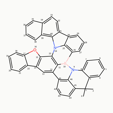 CC1(C)c2ccccc2N2B3c4c(cc5c(oc6ccccc65)c4-n4c5c3cccc5c3ccc5ccccc5c34)-c3cccc1c32